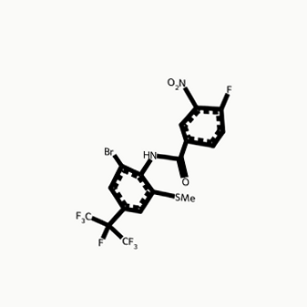 CSc1cc(C(F)(C(F)(F)F)C(F)(F)F)cc(Br)c1NC(=O)c1ccc(F)c([N+](=O)[O-])c1